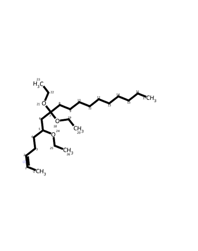 C/C=C\CCC(CC(CCCCCCCCCC)(OCC)OCC)OCC